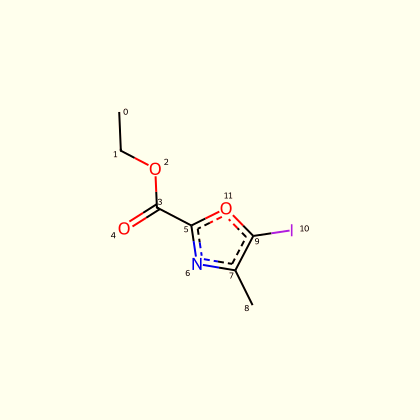 CCOC(=O)c1nc(C)c(I)o1